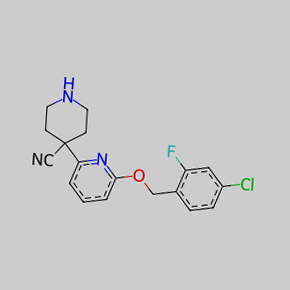 N#CC1(c2cccc(OCc3ccc(Cl)cc3F)n2)CCNCC1